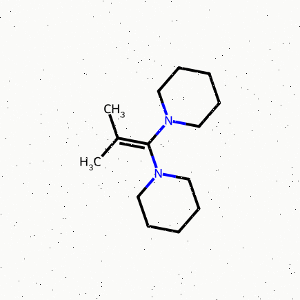 CC(C)=C(N1CCCCC1)N1CCCCC1